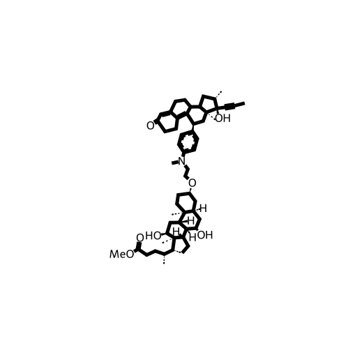 CC#C[C@@]1(O)[C@@H](C)CC2C3CCC4=CC(=O)CCC4=C3[C@H](c3ccc(N(C)CCO[C@H]4CC[C@@]5(C)[C@@H](C4)C[C@@H](O)[C@@H]4[C@@H]5C[C@H](O)[C@]5(C)[C@@H]([C@H](C)CCC(=O)OC)CC[C@@H]45)cc3)C[C@@]21C